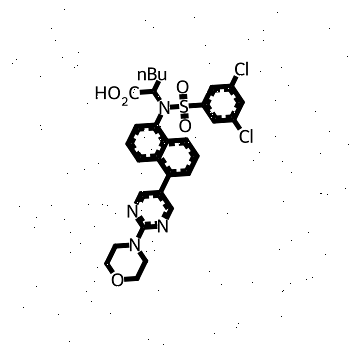 CCCCC(C(=O)O)N(c1cccc2c(-c3cnc(N4CCOCC4)nc3)cccc12)S(=O)(=O)c1cc(Cl)cc(Cl)c1